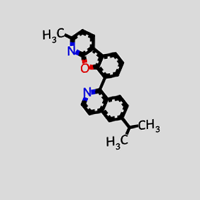 Cc1ccc2c(n1)oc1c(-c3nccc4cc(C(C)C)ccc34)cccc12